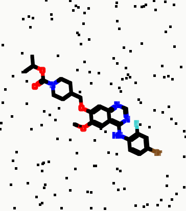 COc1cc2c(Nc3ccc(Br)cc3F)ncnc2cc1OCC1CCN(C(=O)OC(C)C)CC1